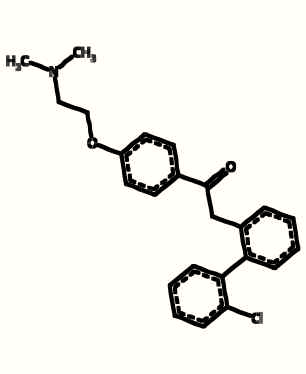 CN(C)CCOc1ccc(C(=O)Cc2ccccc2-c2ccccc2Cl)cc1